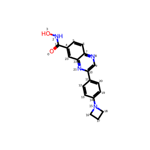 O=C(NO)c1ccc2ncc(-c3ccc(N4CCC4)cc3)nc2c1